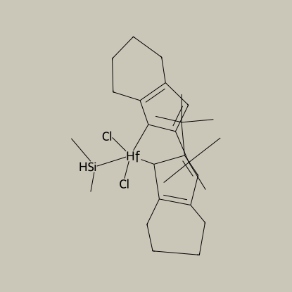 C[SiH](C)[Hf]([Cl])([Cl])([CH]1C(C(C)(C)C)=CC2=C1CCCC2)[CH]1C(C(C)(C)C)=CC2=C1CCCC2